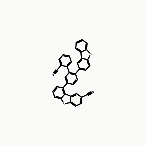 N#Cc1ccc2sc3cccc(-c4ccc(-c5ccc6sc7ccccc7c6c5)c(-c5ccccc5C#N)c4)c3c2c1